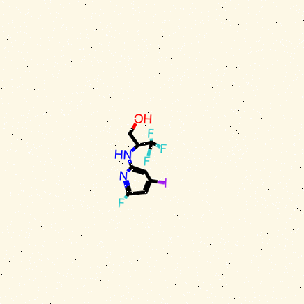 OCC(Nc1cc(I)cc(F)n1)C(F)(F)F